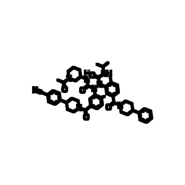 CC(=O)N1CCCC(NC(=O)N(c2cc(C(=O)N3CCC(c4ccc(C#N)cc4)CC3)ccc2C)N(C(=O)NC(C)C)c2cc(C(=O)N3CCC(c4ccccc4)CC3)ccc2C)C1